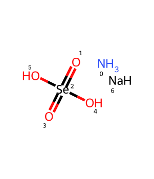 N.O=[Se](=O)(O)O.[NaH]